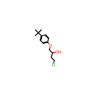 CC(C)(C)c1ccc(OCC(O)CCCl)cc1